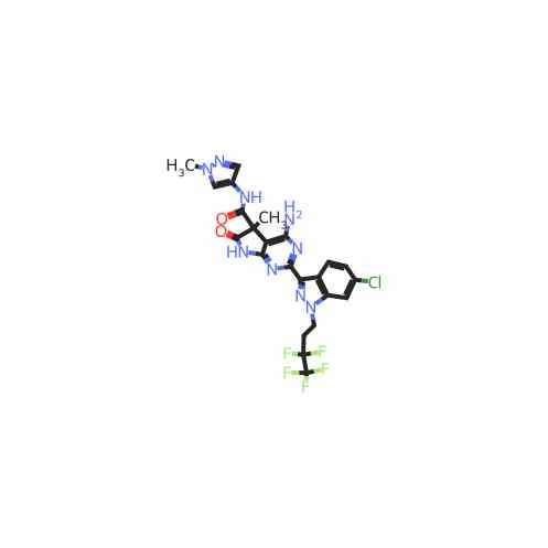 Cn1cc(NC(=O)C2(C)C(=O)Nc3nc(-c4nn(CCC(F)(F)C(F)(F)F)c5cc(Cl)ccc45)nc(N)c32)cn1